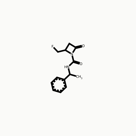 CC(NC(=O)N1C(=O)CC1CF)c1ccccc1